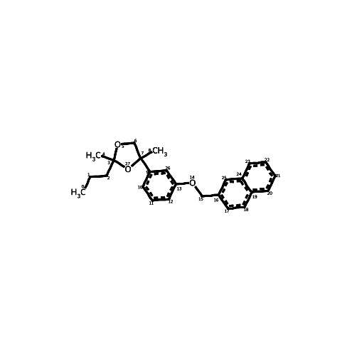 CCCC1(C)OCC(C)(c2cccc(OCc3ccc4ccccc4c3)c2)O1